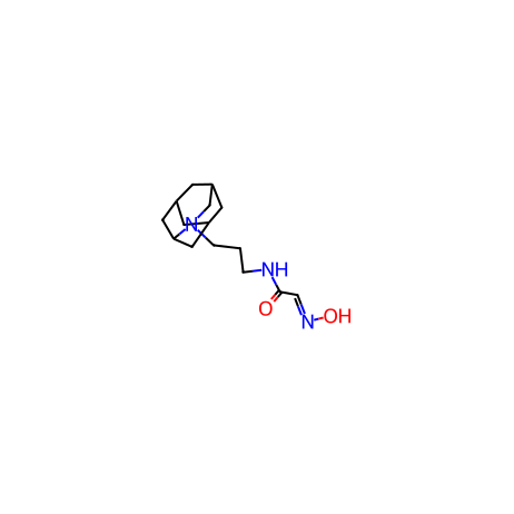 O=C(C=NO)NCCCN1CC2CC3CC(C2)CC1C3